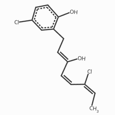 C\C=C(Cl)/C=C\C(O)=C\Cc1cc(Cl)ccc1O